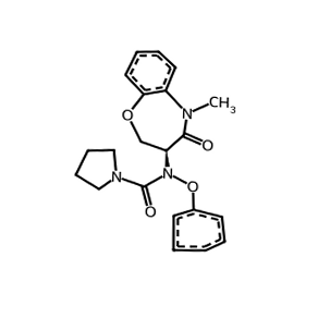 CN1C(=O)[C@@H](N(Oc2ccccc2)C(=O)N2CCCC2)COc2ccccc21